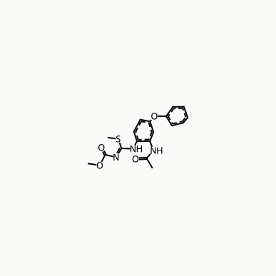 COC(=O)/N=C(/Nc1ccc(Oc2ccccc2)cc1NC(C)=O)SC